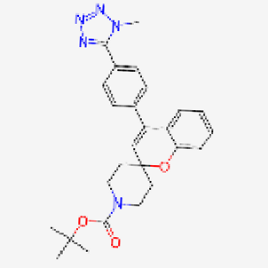 Cn1nnnc1-c1ccc(C2=CC3(CCN(C(=O)OC(C)(C)C)CC3)Oc3ccccc32)cc1